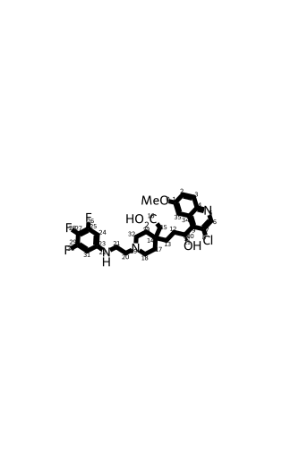 COc1ccc2ncc(Cl)c([C@@H](O)CCC3(CC(=O)O)CCN(CCNc4cc(F)c(F)c(F)c4)CC3)c2c1